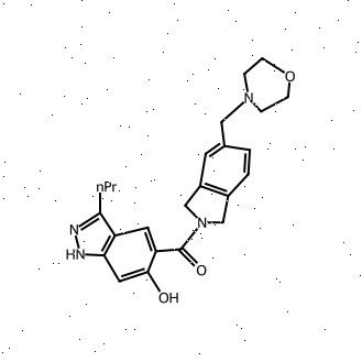 CCCc1n[nH]c2cc(O)c(C(=O)N3Cc4ccc(CN5CCOCC5)cc4C3)cc12